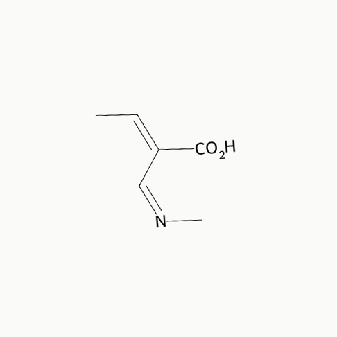 C/C=C(\C=N/C)C(=O)O